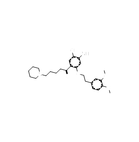 COc1ccc(CCOc2cc(N)c(Cl)cc2C(=O)CCCCN2CCCCC2)cc1OC